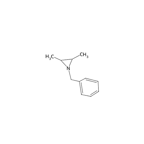 CC1C(C)N1Cc1ccccc1